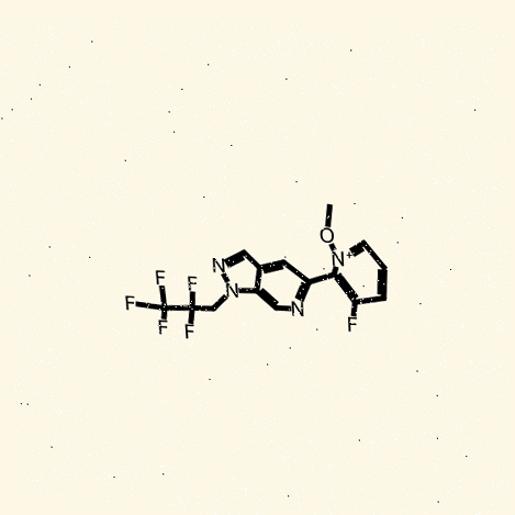 CO[n+]1cccc(F)c1-c1cc2cnn(CC(F)(F)C(F)(F)F)c2cn1